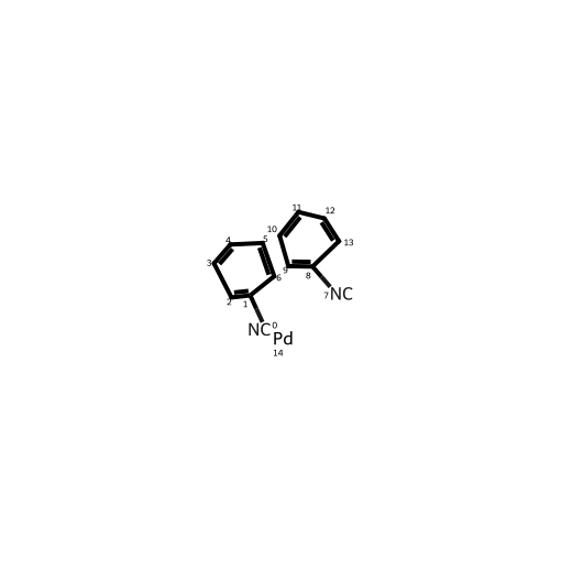 [C-]#[N+]c1ccccc1.[C-]#[N+]c1ccccc1.[Pd]